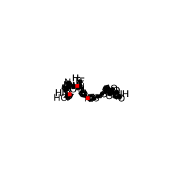 O=C1CCC(N2C(=O)c3cccc(OCCCOC4CCN(C[C@H]5CC[C@H](n6cc(NC(=O)c7cnn8ccc(N[C@@H]9CCCC[C@@H]9O)nc78)c(C(F)F)n6)CC5)CC4)c3C2=O)C(=O)N1